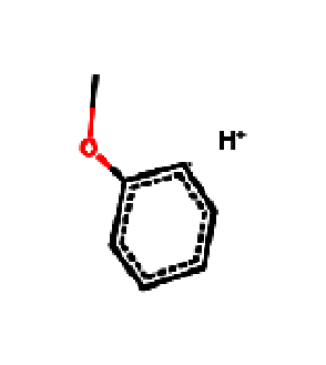 COc1[c]cccc1.[H+]